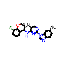 [C-]#[N+]c1ccc2ncn(-c3ncc([N+](=O)[O-])c(NC4CCOc5c(F)cccc54)n3)c2c1